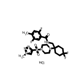 Cc1cc(F)c(C(=O)NCC2(N3CCN(S(=O)(=O)c4cn(C)nn4)CC3)CCC(F)(F)CC2)cc1F.Cl